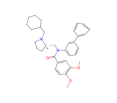 COc1ccc(C(=O)N(C[C@@H]2CCCN2CC2CCCCC2)c2cccc(-c3ccccc3)c2)cc1OC